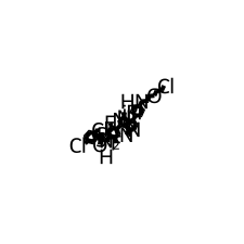 CC(C)n1nc(-c2cc(F)c(NS(=O)(=O)c3cc(Cl)ccc3Cl)cc2F)c2c(N)ncc(C3CCC(NCCOCCCl)CC3)c21